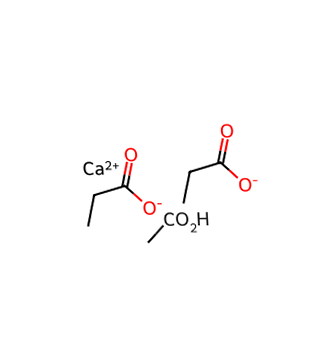 CC(=O)O.CCC(=O)[O-].CCC(=O)[O-].[Ca+2]